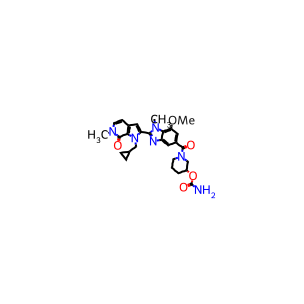 COc1cc(C(=O)N2CCCC(OC(N)=O)C2)cc2nc(-c3cc4ccn(C)c(=O)c4n3CC3CC3)n(C)c12